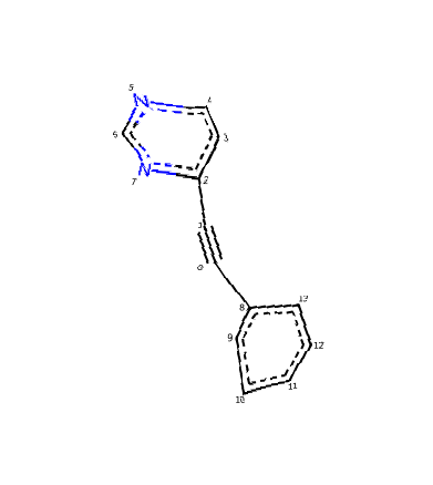 C(#Cc1ccncn1)c1ccccc1